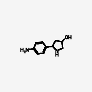 Nc1ccc(C2CC(O)CN2)cc1